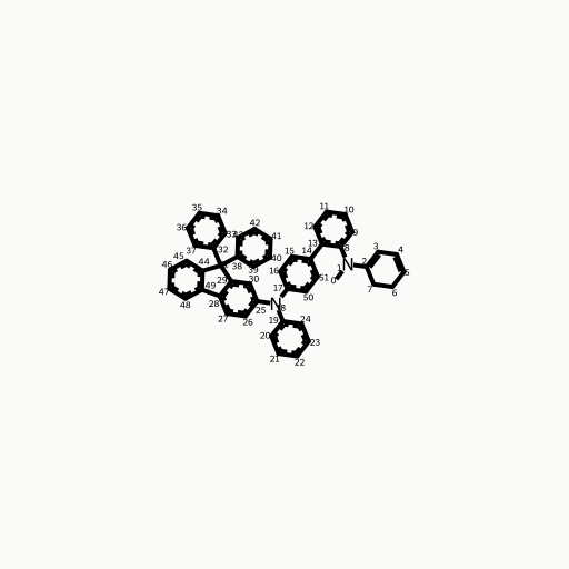 CN(C1=CC=CCC1)c1ccccc1-c1ccc(N(c2ccccc2)c2ccc3c(c2)C(c2ccccc2)(c2ccccc2)c2ccccc2-3)cc1